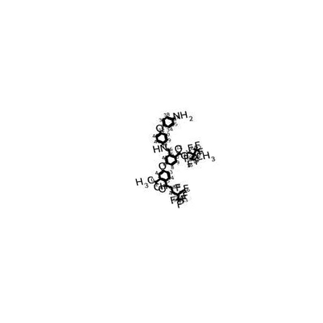 CC(C)c1cc(Oc2ccc(C(=O)OCC(C)(C(F)(F)F)C(F)(F)F)c(CNc3ccc(Oc4ccc(N)cc4)cc3)c2)ccc1C(=O)CCC(C(F)(F)F)C(F)(F)F